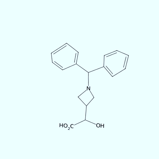 O=C(O)C(O)C1CN(C(c2ccccc2)c2ccccc2)C1